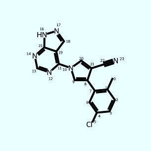 Cc1ccc(Cl)cc1-c1cn(-c2ncnc3[nH]ncc23)cc1C#N